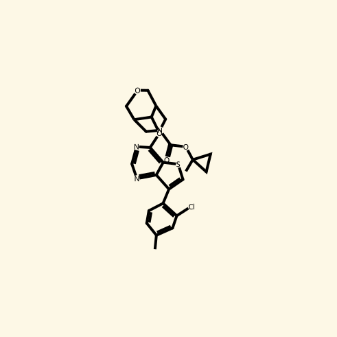 Cc1ccc(-c2csc3c(OC4C5COCC4CN(C(=O)OC4(C)CC4)C5)ncnc23)c(Cl)c1